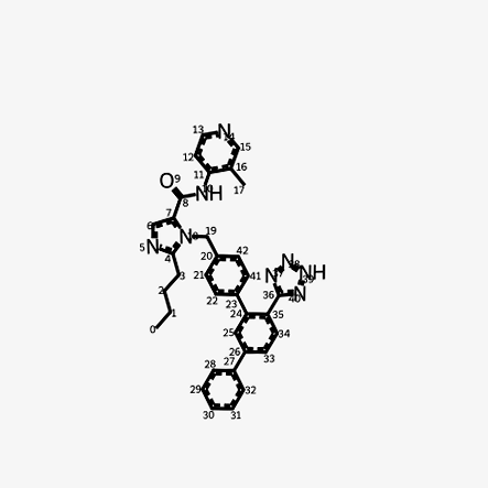 CCCCc1ncc(C(=O)Nc2ccncc2C)n1Cc1ccc(-c2cc(-c3ccccc3)ccc2-c2nn[nH]n2)cc1